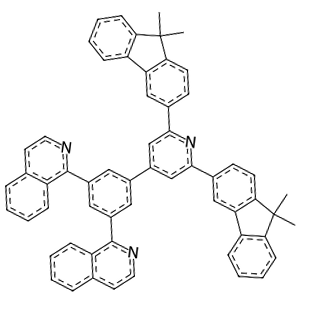 CC1(C)c2ccccc2-c2cc(-c3cc(-c4cc(-c5nccc6ccccc56)cc(-c5nccc6ccccc56)c4)cc(-c4ccc5c(c4)-c4ccccc4C5(C)C)n3)ccc21